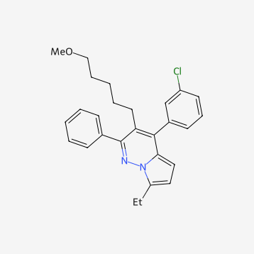 CCc1ccc2c(-c3cccc(Cl)c3)c(CCCCCOC)c(-c3ccccc3)nn12